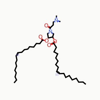 CCCCCCCC/C=C\CCCCCCCC(=O)OC1CN(C(=O)CCN(C)C)CC1OC(=O)CCCCCCC/C=C\CCCCCCCC